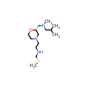 CSCNCCN1CCO[C@H](CN(C)CC(C)C)C1